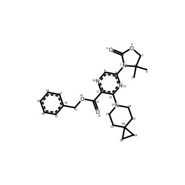 CC1(C)COC(=O)N1c1cnc(C(=O)OCc2ccccc2)c(N2CCC3(CC2)CC3)n1